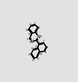 c1ccc2nc(-c3cccc4ccccc34)ncc2c1